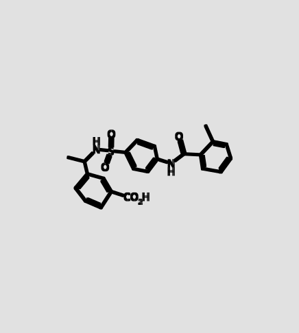 Cc1ccccc1C(=O)Nc1ccc(S(=O)(=O)NC(C)c2cccc(C(=O)O)c2)cc1